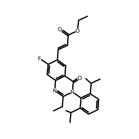 CCOC(=O)C=Cc1cc2c(=O)n(-c3c(C(C)C)cccc3C(C)C)c(CC)nc2cc1F